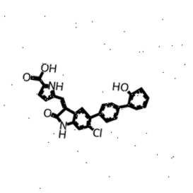 O=C1Nc2cc(Cl)c(-c3ccc(-c4ccccc4O)cc3)cc2C1=Cc1ccc(C(=O)O)[nH]1